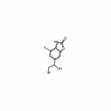 O=c1[nH]c2c(F)cc(C(O)CBr)cc2s1